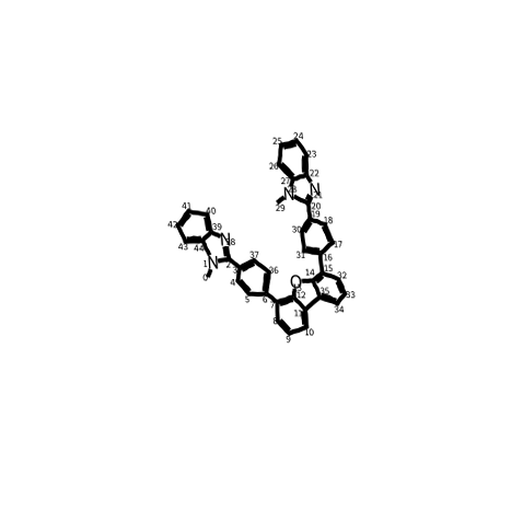 Cn1c(-c2ccc(-c3cccc4c3oc3c(-c5ccc(-c6nc7ccccc7n6C)cc5)cccc34)cc2)nc2ccccc21